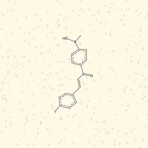 CB(O)c1ccc(C(=O)/C=C/c2ccc(I)cc2)cc1